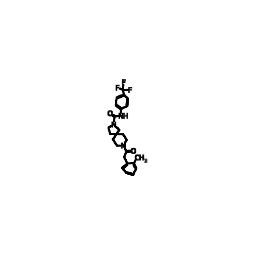 Cc1ccccc1CC(=O)N1CCC2(CC1)CCN(C(=O)Nc1ccc(C(F)(F)F)cc1)C2